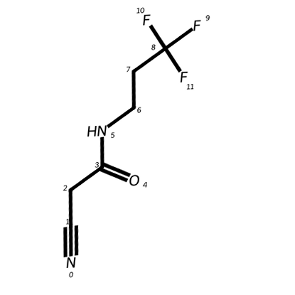 N#CCC(=O)NCCC(F)(F)F